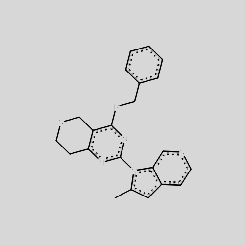 Cc1cc2ccncc2n1-c1nc2c(c(NCc3ccccc3)n1)CNCC2